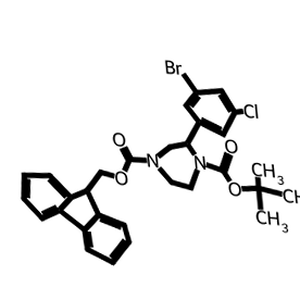 CC(C)(C)OC(=O)N1CCN(C(=O)OCC2c3ccccc3-c3ccccc32)CC1c1cc(Cl)cc(Br)c1